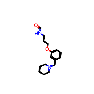 O=CNCCCOc1cccc(CN2CCCCC2)c1